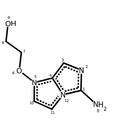 Nc1ncc2n(OCCO)ccn12